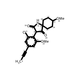 CC#Cc1cc(Cl)c(C2C(=O)NC3(CCC(OC)CC3)C2=O)c(OC)c1